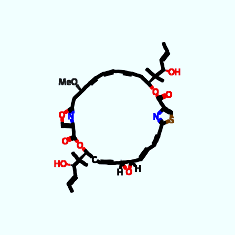 C/C=C/[C@H](O)C(C)(C)[C@@H]1C/C=C\[C@H]2O[C@H]2/C=C/C=C\c2nc(cs2)C(=O)O[C@H](C(C)(C)[C@@H](O)/C=C/C)C\C=C/C=C\C=C\[C@H](OC)Cc2nc(co2)C(=O)O1